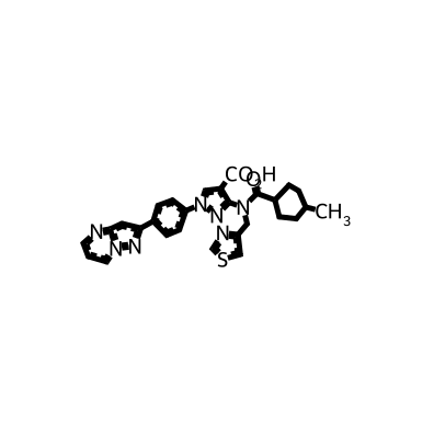 CC1CCC(C(=O)N(Cc2cscn2)c2nn(-c3ccc(-c4cc5ncccn5n4)cc3)cc2C(=O)O)CC1